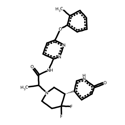 Cc1ccccc1Oc1ccc(NC(=O)C(C)N2CCC(F)(F)[C@@H](c3ccc(=O)[nH]c3)C2)nn1